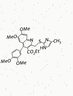 CCOC(=O)c1c(CSc2nc(C)c[nH]2)nc2cc(OC)c(OC)cc2c1-c1ccc(OC)c(OC)c1